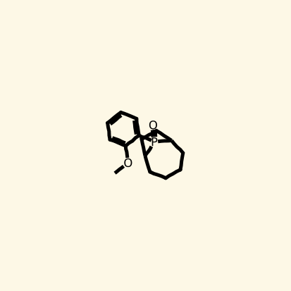 COc1ccccc1P1(=O)C2CCCCC1CC2